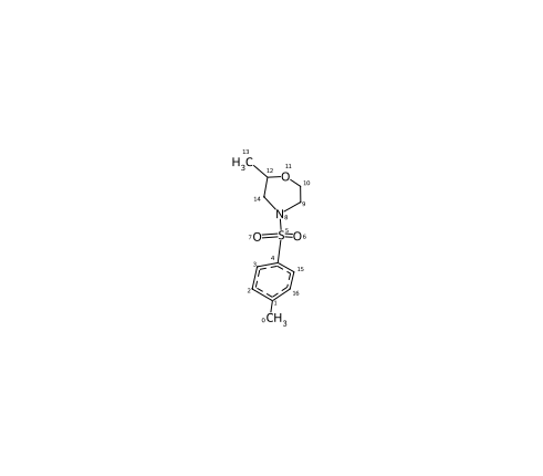 Cc1ccc(S(=O)(=O)N2CCOC(C)C2)cc1